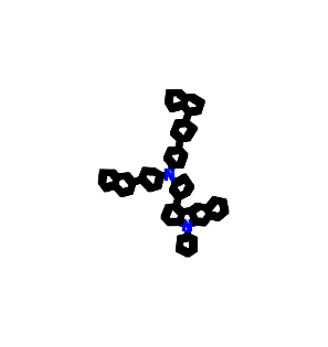 c1ccc(-n2c3cc4ccccc4cc3c3c(-c4cccc(N(c5ccc(-c6ccc(-c7cccc8ccccc78)cc6)cc5)c5ccc(-c6ccc7ccccc7c6)cc5)c4)cccc32)cc1